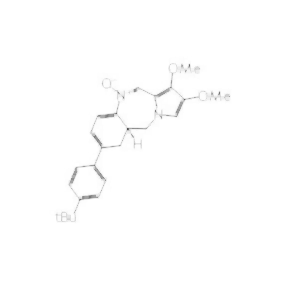 COc1cn2c(c1OC)C=[N+]([O-])C1=CC=C(c3ccc(C(C)(C)C)cc3)C[C@H]1C2